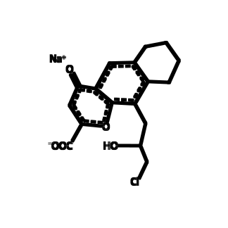 O=C([O-])c1cc(=O)c2cc3c(c(CC(O)CCl)c2o1)CCCC3.[Na+]